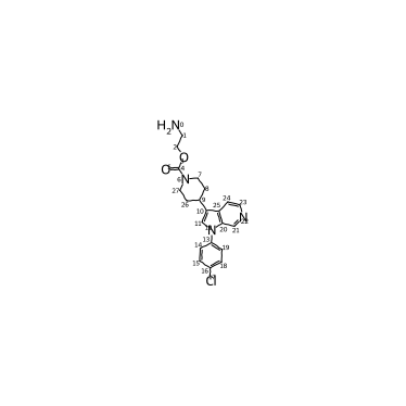 NCCOC(=O)N1CCC(c2cn(-c3ccc(Cl)cc3)c3cnccc23)CC1